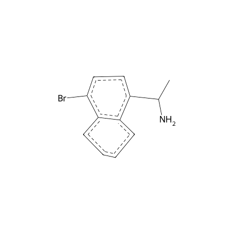 CC(N)c1ccc(Br)c2ccccc12